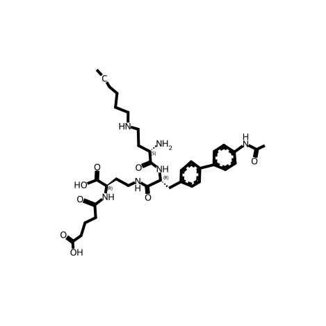 CCCCCCNCC[C@H](N)C(=O)N[C@H](Cc1ccc(-c2ccc(NC(C)=O)cc2)cc1)C(=O)NCC[C@@H](NC(=O)CCCC(=O)O)C(=O)O